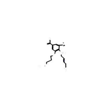 COCCCOc1cc(C(N)=O)cc([N+](=O)[O-])c1NC/C=C/CN